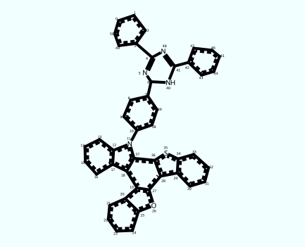 c1ccc(C2=NC(c3ccc(-n4c5ccccc5c5c6c7ccccc7oc6c6c7ccccc7sc6c54)cc3)NC(c3ccccc3)=N2)cc1